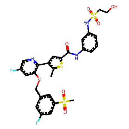 Cc1sc(C(=O)Nc2cccc(NS(=O)(=O)CCO)c2)cc1-c1ncc(F)cc1OCc1cc(F)cc(S(C)(=O)=O)c1